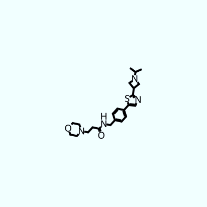 CC(C)N1CC(c2ncc(-c3ccc(CNC(=O)CCN4CCOCC4)cc3)s2)C1